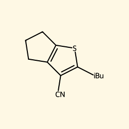 CCC(C)c1sc2c(c1C#N)CCC2